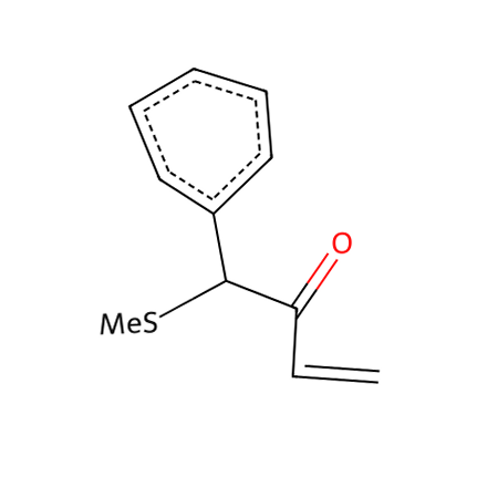 C=CC(=O)C(SC)c1ccccc1